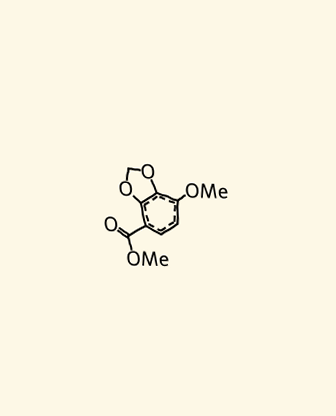 COC(=O)c1ccc(OC)c2c1OCO2